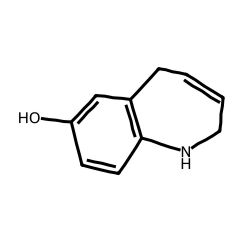 Oc1ccc2c(c1)CC=CCN2